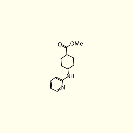 COC(=O)C1CCC(Nc2ccccn2)CC1